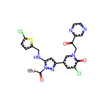 CC(C)(C)C(=O)n1nc(-c2cc(Cl)c(=O)n(CC(=O)c3cnccn3)c2)cc1NCc1ccc(Cl)s1